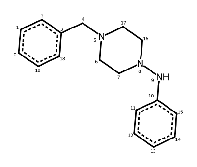 c1ccc(CN2CCN(Nc3ccccc3)CC2)cc1